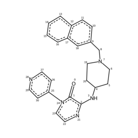 O=c1c(NC2CCN(Cc3ccc4ccccc4c3)CC2)nccn1-c1ccncc1